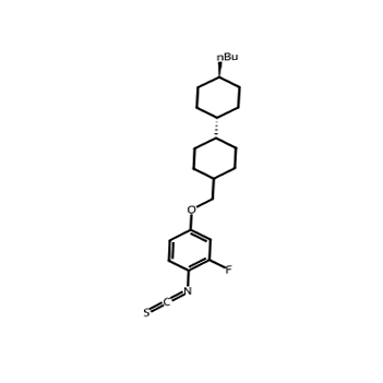 CCCC[C@H]1CC[C@H](C2CCC(COc3ccc(N=C=S)c(F)c3)CC2)CC1